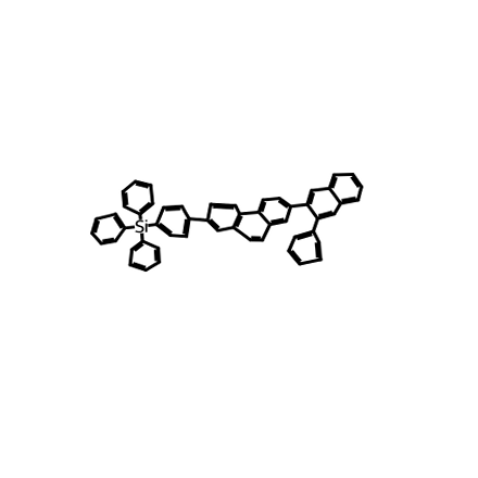 c1ccc(-c2cc3ccccc3cc2-c2ccc3c(ccc4cc(-c5ccc([Si](c6ccccc6)(c6ccccc6)c6ccccc6)cc5)ccc43)c2)cc1